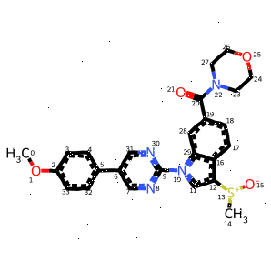 COc1ccc(-c2cnc(-n3cc([S+](C)[O-])c4ccc(C(=O)N5CCOCC5)cc43)nc2)cc1